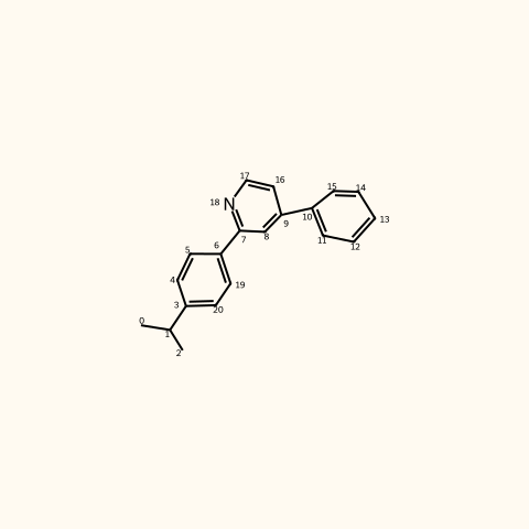 CC(C)c1ccc(-c2cc(-c3ccccc3)ccn2)cc1